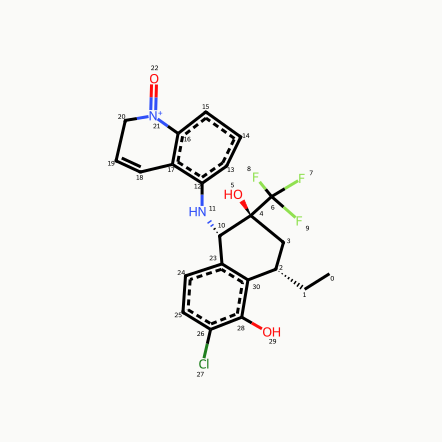 CC[C@H]1C[C@@](O)(C(F)(F)F)[C@@H](Nc2cccc3c2C=CC[N+]3=O)c2ccc(Cl)c(O)c21